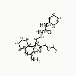 CCOCc1nc2c(N)nc3c(c2n1CCNC(=O)NC1CCCCC1)CCCC3